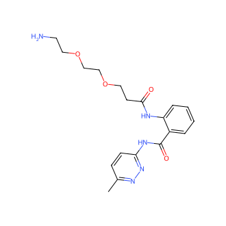 Cc1ccc(NC(=O)c2ccccc2NC(=O)CCOCCOCCN)nn1